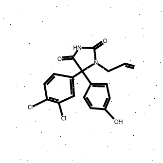 C=CCN1C(=O)NC(=O)C1(c1ccc(O)cc1)c1ccc(Cl)c(Cl)c1